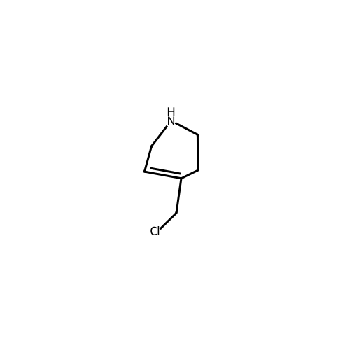 ClCC1=CCNCC1